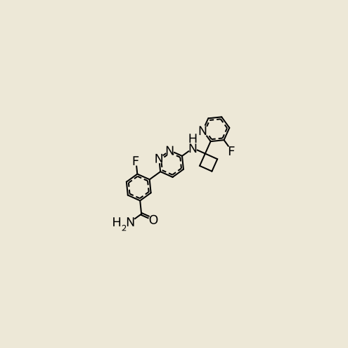 NC(=O)c1ccc(F)c(-c2ccc(NC3(c4ncccc4F)CCC3)nn2)c1